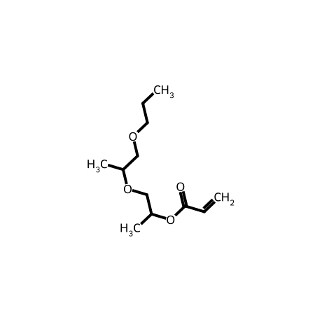 C=CC(=O)OC(C)COC(C)COCCC